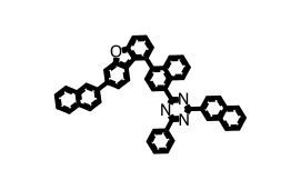 c1ccc(-c2nc(-c3ccc4ccccc4c3)nc(-c3ccc(-c4cccc5oc6cc(-c7ccc8ccccc8c7)ccc6c45)c4ccccc34)n2)cc1